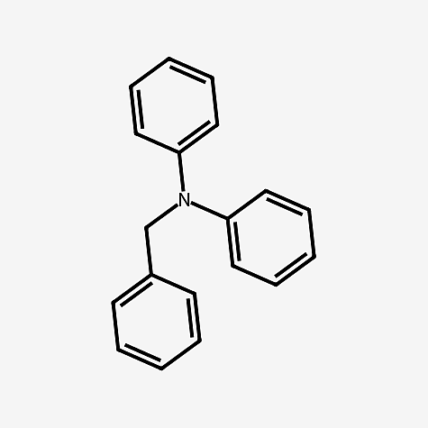 c1ccc(CN(c2ccccc2)c2ccccc2)cc1